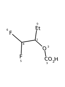 CCC(OC(=O)O)C(F)F